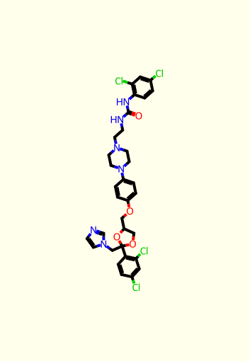 O=C(NCCN1CCN(c2ccc(OCC3COC(Cn4ccnc4)(c4ccc(Cl)cc4Cl)O3)cc2)CC1)Nc1ccc(Cl)cc1Cl